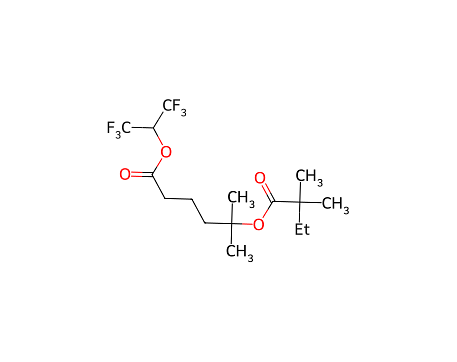 CCC(C)(C)C(=O)OC(C)(C)CCCC(=O)OC(C(F)(F)F)C(F)(F)F